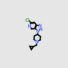 Clc1cc2nnn(C3CCN(CC4CC4)CC3)c2cn1